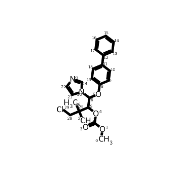 COC(=O)OC(C(Oc1ccc(-c2ccccc2)cc1)n1ccnc1)C(C)(C)CCl